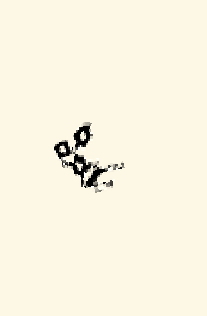 N#Cc1nc2cc(Br)c(N(c3ccccc3)c3ccccc3)cc2nc1C#N